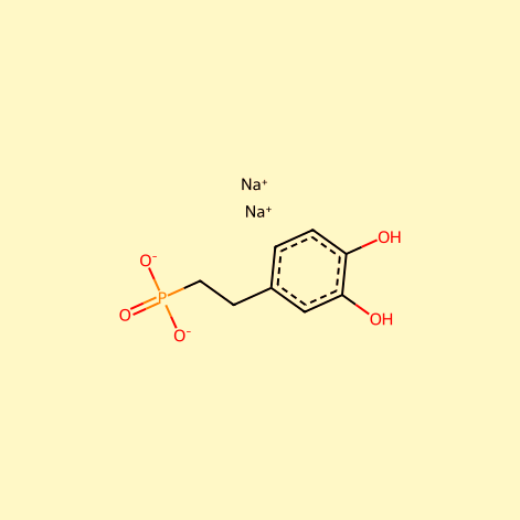 O=P([O-])([O-])CCc1ccc(O)c(O)c1.[Na+].[Na+]